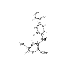 COc1cc(F)c([N+](=O)[O-])cc1Nc1ncc(C(=O)OC(C)C)cn1